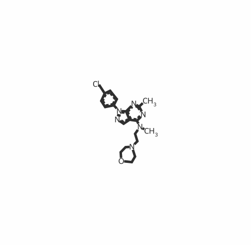 Cc1nc(N(C)CCN2CCOCC2)c2cnn(-c3ccc(Cl)cc3)c2n1